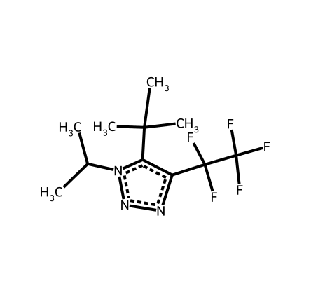 CC(C)n1nnc(C(F)(F)C(F)(F)F)c1C(C)(C)C